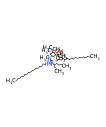 CCCCCCCCCCCCCCCCCCSC1=C(N(C)c2cc(C(C)(C)C)c(O)c(C(C)(C)C)c2)N(SCCCCCCCCCCCCCCCCCC)NN1C(CCC)CCCC